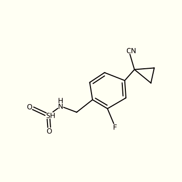 N#CC1(c2ccc(CN[SH](=O)=O)c(F)c2)CC1